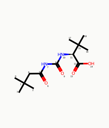 CC(C)(C)CC(=O)NC(=O)N[C@H](C(=O)O)C(C)(C)C